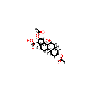 CC(=O)O[C@@H]1CC[C@]2(C)C3CC[C@]4(C)[C@@H](C(=O)O)[C@@H](OC(C)=O)C[C@]4(O)C3CC[C@@H]2C1